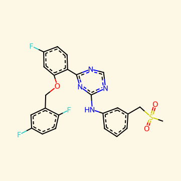 CS(=O)(=O)Cc1cccc(Nc2ncnc(-c3ccc(F)cc3OCc3cc(F)ccc3F)n2)c1